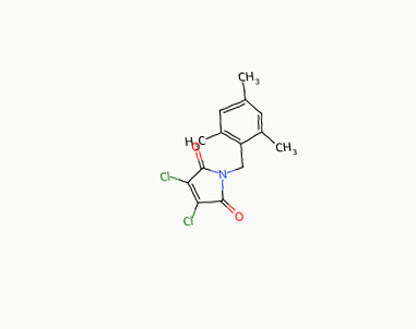 Cc1cc(C)c(CN2C(=O)C(Cl)=C(Cl)C2=O)c(C)c1